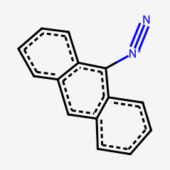 N#[N+]c1c2ccccc2cc2ccccc12